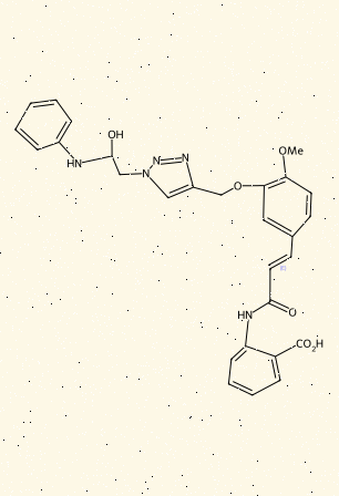 COc1ccc(/C=C/C(=O)Nc2ccccc2C(=O)O)cc1OCc1cn(CC(O)Nc2ccccc2)nn1